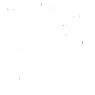 COCC(C1CCCCC1)C(C)(OC)C(OC)C(CC(C)C)C(C)OC